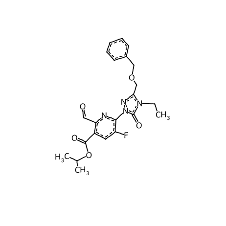 CCn1c(COCc2ccccc2)nn(-c2nc(C=O)c(C(=O)OC(C)C)cc2F)c1=O